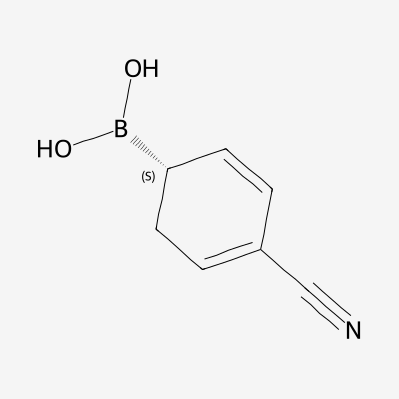 N#CC1=CC[C@H](B(O)O)C=C1